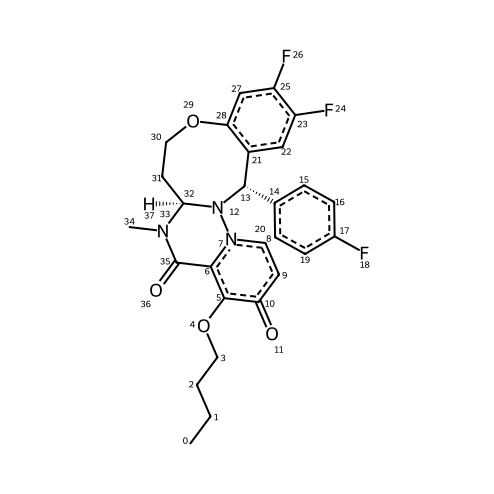 CCCCOc1c2n(ccc1=O)N1[C@@H](c3ccc(F)cc3)c3cc(F)c(F)cc3OCC[C@@H]1N(C)C2=O